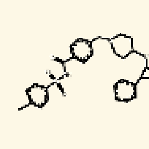 Cc1ccc(S(=O)(=O)NC(=O)c2ccc(CN3CCC(NC4CC4c4ccccc4)CC3)cc2)cc1